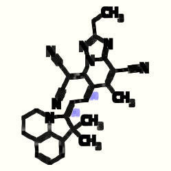 CCc1nc2c(C#N)c(C)/c(=C/C=C3/N4CCCc5cccc(c54)C3(C)C)c(=C(C#N)C#N)n2n1